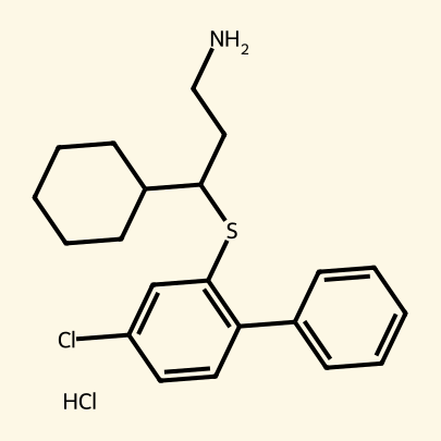 Cl.NCCC(Sc1cc(Cl)ccc1-c1ccccc1)C1CCCCC1